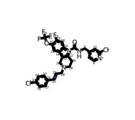 O=C(NCc1ccnc(Cl)c1)n1c2c(c3cc(OC(F)(F)F)c(F)cc31)CN(C/C=C/c1ccc(Cl)cc1)CC2